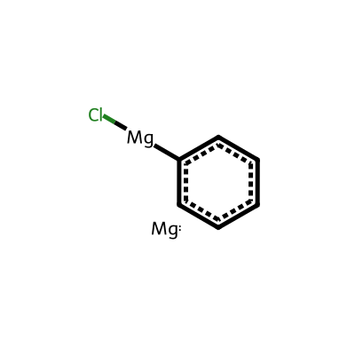 [Cl][Mg][c]1ccccc1.[Mg]